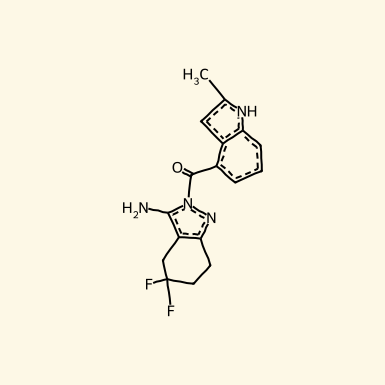 Cc1cc2c(C(=O)n3nc4c(c3N)CC(F)(F)CC4)cccc2[nH]1